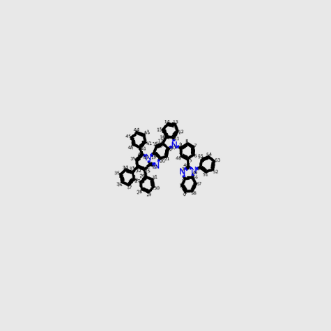 C1=CC2N=C(c3cccc(-n4c5ccccc5c5cc6c(cc54)nc4c(-c5ccccc5)c(-c5ccccc5)cc(-c5ccccc5)n46)c3)N(c3ccccc3)C2C=C1